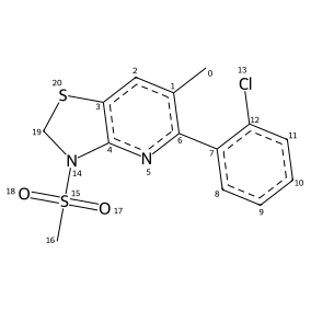 Cc1cc2c(nc1-c1ccccc1Cl)N(S(C)(=O)=O)CS2